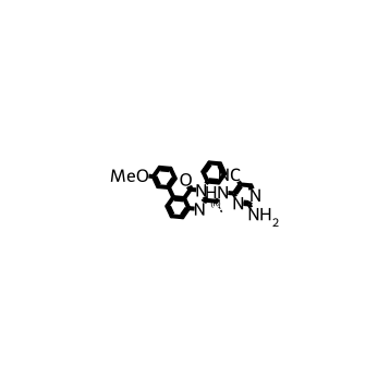 COc1cccc(-c2cccc3nc([C@@H](C)Nc4nc(N)ncc4C#N)n(-c4ccccc4)c(=O)c23)c1